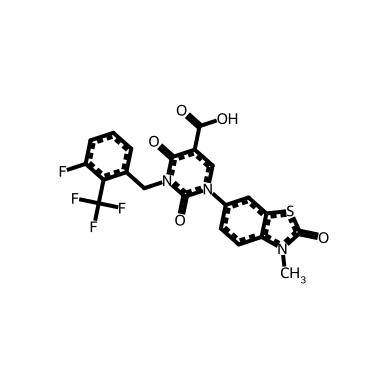 Cn1c(=O)sc2cc(-n3cc(C(=O)O)c(=O)n(Cc4cccc(F)c4C(F)(F)F)c3=O)ccc21